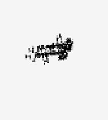 NCCCNCCCCNCCc1c(C(=O)c2ccc3ccccc3c2CCNCCCCNCCCN)ccc2ccccc12